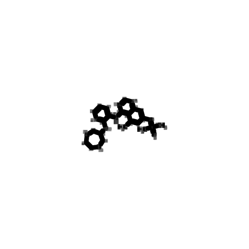 Cc1cc(N=S(C)(C)=O)cc2ncnc(Nc3cccnc3OC3COCCOC3)c12